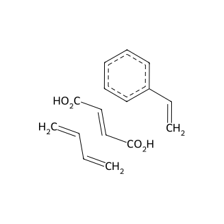 C=CC=C.C=Cc1ccccc1.O=C(O)C=CC(=O)O